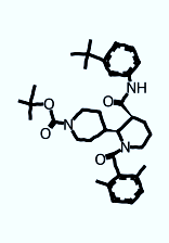 Cc1cccc(C)c1C(=O)N1CCC[C@H](C(=O)Nc2cccc(C(C)(C)C)c2)[C@@H]1C1CCN(C(=O)OC(C)(C)C)CC1